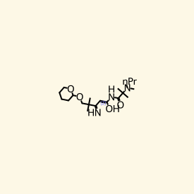 CCCN(C)C(C)(C)C(=O)N/C(O)=C/C(=N)C(C)(C)COC1CCCCO1